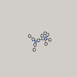 c1ccc(-c2ccc(N(c3ccc(-c4ccccc4)cc3)c3ccc(-c4cc5c(-c6ccccc6)c(-c6ccccc6)n(-c6cccc7ccccc67)c5c5ccccc45)cc3)cc2)cc1